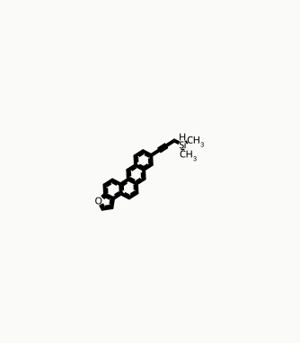 C[SiH](C)CC#Cc1ccc2cc3c(ccc4c5ccoc5ccc34)cc2c1